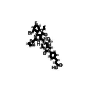 CCOC(=O)C1=C(CN2CCN3C(=O)N(c4ccc(CCC(=O)O)cc4)C[C@@H]3[C@H]2CO)NC(c2nccs2)=N[C@H]1c1ccc(F)cc1Br